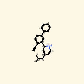 C#Cc1ccc(-c2ccccc2)cc1C1C=C(CC(C)C)C=CN1